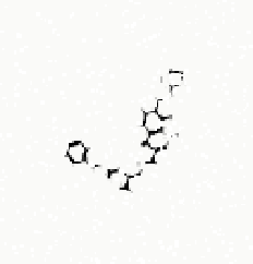 Cn1cc(C(=O)NCC(NC(=O)OCc2ccccc2)C(=O)O)c(=O)c2cc(F)c(CNC3NCCN3)c(F)c21